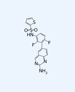 Nc1ncc2cc(-c3c(F)ccc(NS(=O)(=O)c4cccs4)c3F)ccc2n1